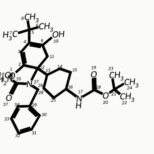 COC1=CC(C(C)(C)C)=C(O)CC1(C1CCC(NC(=O)OC(C)(C)C)CC1)N(Cc1ccccc1)C(N)=O